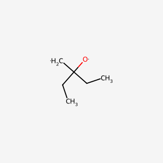 [CH2]C([O])(CC)CC